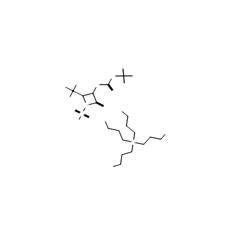 CC(C)(C)OC(=O)NC1C(=O)N(S(=O)(=O)O)C1C(F)(F)F.CCCC[N+](CCCC)(CCCC)CCCC